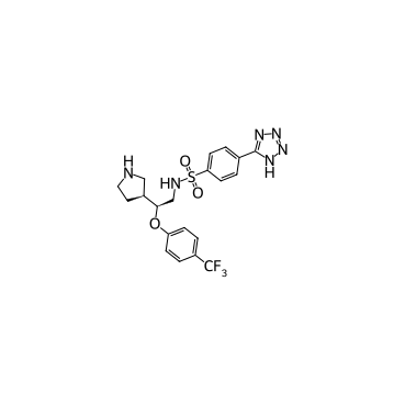 O=S(=O)(NC[C@@H](Oc1ccc(C(F)(F)F)cc1)[C@H]1CCNC1)c1ccc(-c2nnn[nH]2)cc1